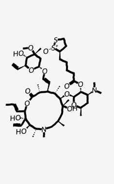 C=C[C@@H]1O[C@@H](O/C=C/[C@H]2[C@H](C)[C@@H](O[C@@H]3O[C@H](C)C[C@H](N(C)C)[C@H]3OC(=O)CCCC[C@@H]3CCS[S+]3[O-])[C@](C)(O)C[C@@H](C)CN(C)[C@H](C)[C@@H](O)[C@@](O)(C=C)C(/C=C/C)OC(=O)[C@@H]2C)C[C@@](C)(OC)[C@H]1O